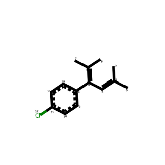 CC(C)=CC(=C(C)C)c1ccc(Cl)cc1